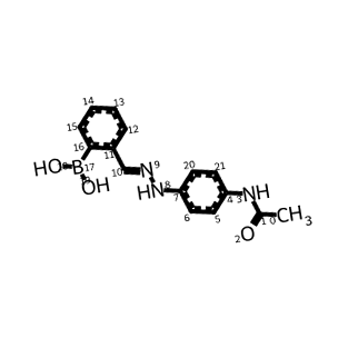 CC(=O)Nc1ccc(N/N=C/c2ccccc2B(O)O)cc1